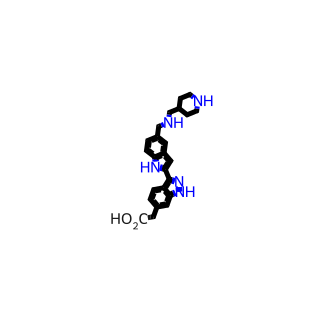 O=C(O)Cc1ccc2c(-c3cc4cc(CNCC5CCNCC5)ccc4[nH]3)n[nH]c2c1